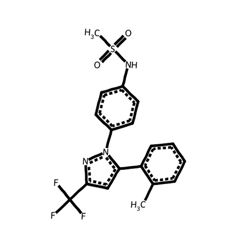 Cc1ccccc1-c1cc(C(F)(F)F)nn1-c1ccc(NS(C)(=O)=O)cc1